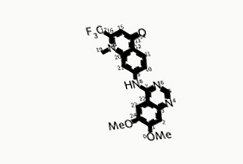 COc1cc2ncnc(Nc3ccc4c(=O)cc(C(F)(F)F)n(C)c4c3)c2cc1OC